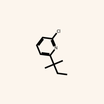 CCC(C)(C)c1cccc(Cl)n1